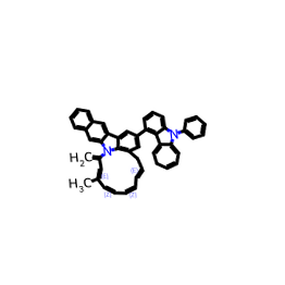 C=C1/C=C(C)/C=C\C=C/C=C/Cc2cc(-c3cccc4c3c3c(n4-c4ccccc4)=CC=CCC=3)cc3c4cc5ccccc5cc4n1c23